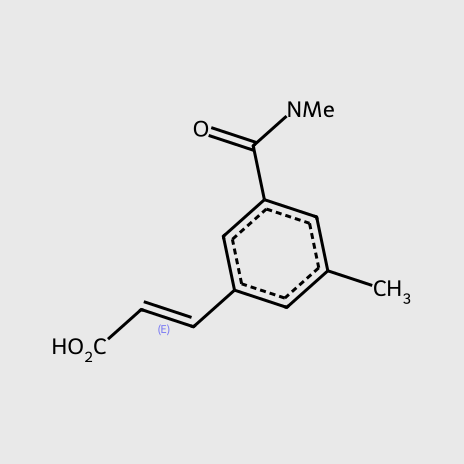 CNC(=O)c1cc(C)cc(/C=C/C(=O)O)c1